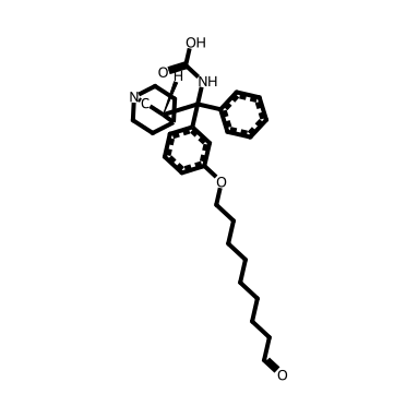 O=CCCCCCCCCOc1cccc(C(NC(=O)O)(c2ccccc2)[C@H]2CN3CCC2CC3)c1